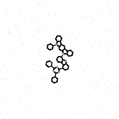 C1=CCC(c2nc(-c3ccccc3)nc(-c3cccc4oc5c(-n6c7ccccc7c7cc8c9ccccc9n(-c9ccccc9)c8cc76)cccc5c34)n2)C=C1